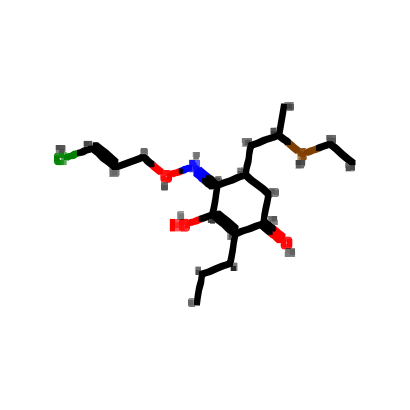 CCCC1=C(O)C(=NOCC=CCl)C(CC(C)SCC)CC1=O